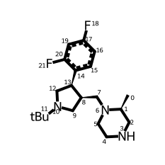 C[C@H]1CNCCN1C[C@H]1CN(C(C)(C)C)C[C@H]1c1ccc(F)cc1F